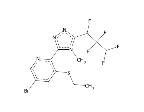 CCSc1cc(Br)cnc1-c1nnc(C(F)C(F)(F)C(F)F)n1C